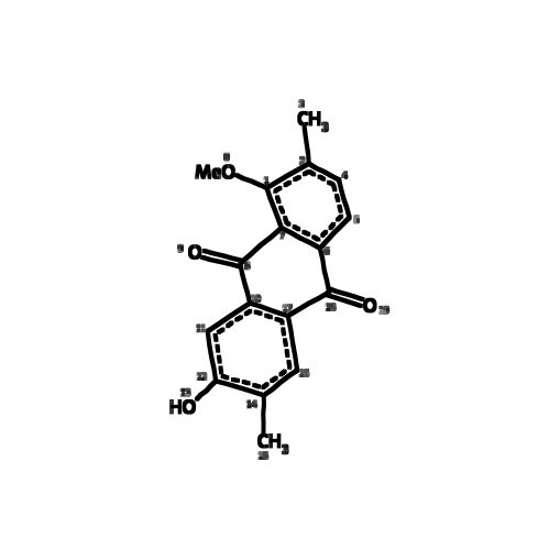 COc1c(C)ccc2c1C(=O)c1cc(O)c(C)cc1C2=O